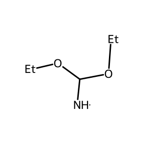 CCOC([NH])OCC